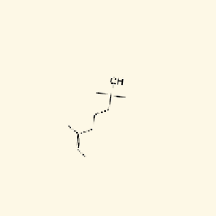 CC=C(C)CCCC(C)(C)O